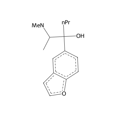 CCCC(O)(c1ccc2occc2c1)C(C)NC